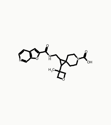 CC1(C2C(CNC(=O)c3cc4ccncc4o3)C23CCN(C(=O)O)CC3)COC1